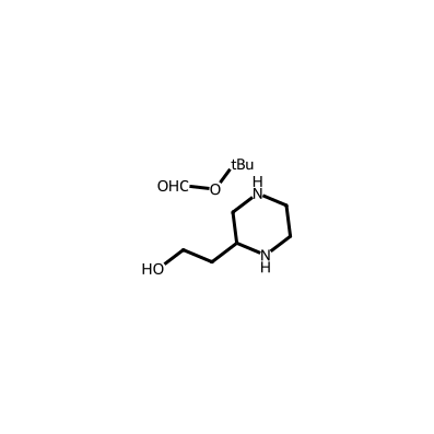 CC(C)(C)OC=O.OCCC1CNCCN1